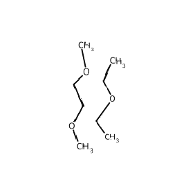 CCOCC.COCCOC